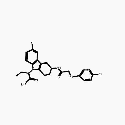 CCC(C(=O)O)n1c2c(c3cc(F)ccc31)CC(NC(=O)COc1ccc(Cl)cc1)CC2